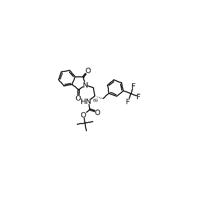 CC(C)(C)OC(=O)N[C@@H](Cc1cccc(C(F)(F)F)c1)CN1C(=O)c2ccccc2C1=O